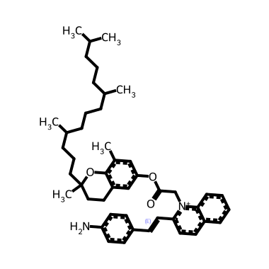 Cc1cc(OC(=O)C[n+]2c(/C=C/c3ccc(N)cc3)ccc3ccccc32)cc2c1OC(C)(CCCC(C)CCCC(C)CCCC(C)C)CC2